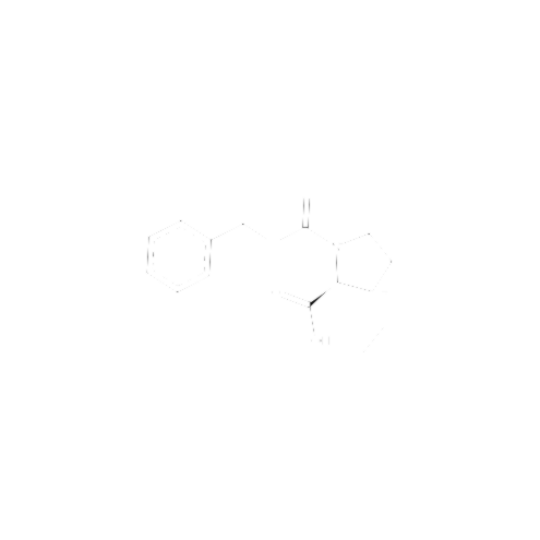 CC[C@H]1CCN(C(=O)OCc2ccccc2)[C@@H]1C(=O)O